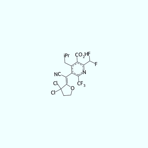 CC(C)Cc1c(C(=O)O)c(C(F)F)nc(C(F)(F)F)c1C(C#N)=C1OCCC1(Cl)Cl